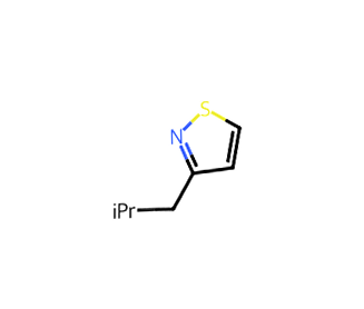 CC(C)Cc1ccsn1